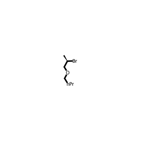 CCCCOC[C@@H](C)Br